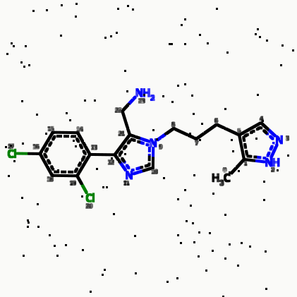 Cc1[nH]ncc1CCCn1cnc(-c2ccc(Cl)cc2Cl)c1CN